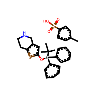 CC(C)(C)[Si](Oc1cc2c(s1)CCNC2)(c1ccccc1)c1ccccc1.Cc1ccc(S(=O)(=O)O)cc1